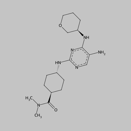 CN(C)C(=O)[C@H]1CC[C@H](Nc2ncc(N)c(N[C@@H]3CCCOC3)n2)CC1